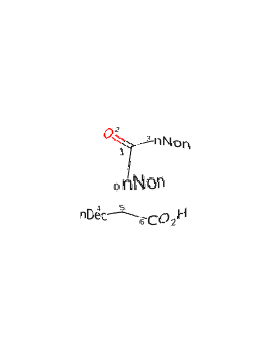 CCCCCCCCCC(=O)CCCCCCCCC.CCCCCCCCCCCC(=O)O